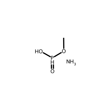 CO[PH](=O)O.N